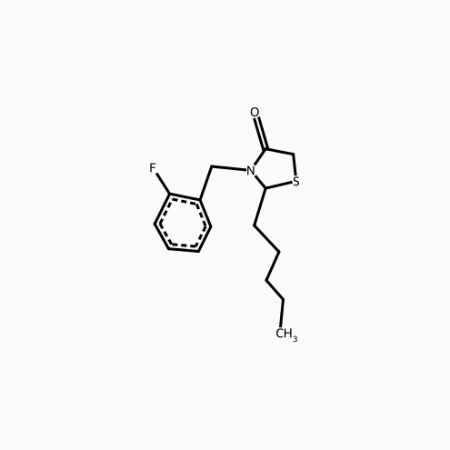 CCCCCC1SCC(=O)N1Cc1ccccc1F